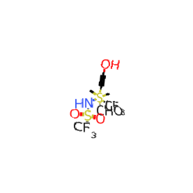 CS(C)(C#CO)(C=O)(NS(=O)(=O)C(F)(F)F)C(F)(F)F